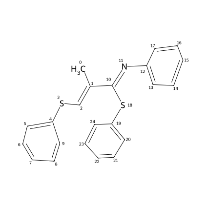 CC(=C\Sc1ccccc1)/C(=N/c1ccccc1)Sc1ccccc1